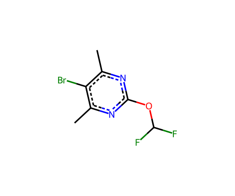 Cc1nc(OC(F)F)nc(C)c1Br